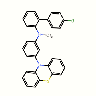 CN(c1cccc(N2c3ccccc3Sc3ccccc32)c1)c1ccccc1-c1ccc(Cl)cc1